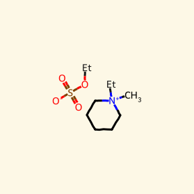 CCOS(=O)(=O)[O-].CC[N+]1(C)CCCCC1